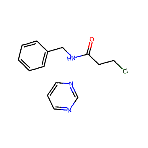 O=C(CCCl)NCc1ccccc1.c1cncnc1